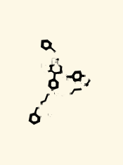 COCCCN1C(=O)COc2ccc(COC3(O[SiH3])CN(C(=O)OCc4ccccc4)C(C(C)C)(C(C)C)C(C(C)C)C3c3ccc(OCCCOCc4ccccc4OC)cc3)cc21